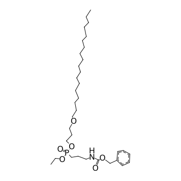 CCCCCCCCCCCCCCCCCCOCCCOP(=O)(CCCNC(=O)OCc1ccccc1)OCC